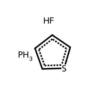 F.P.c1ccsc1